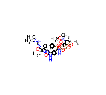 CCN(CC)CCNC(=O)c1c(C)[nH]c(CC2C(=O)Nc3ccc(C(NS(=O)(=O)c4cc5c(s4)S(=O)(=O)[C@@H](C)C[C@@H]5N(CC)C(=O)OC)[S+]([O-])c4ccccc4)cc32)c1C